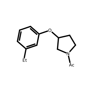 CCc1cccc(OC2CCN(C(C)=O)C2)c1